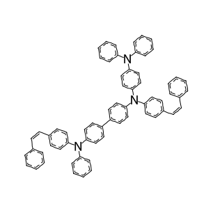 C(=C/c1ccc(N(c2ccccc2)c2ccc(-c3ccc(N(c4ccc(/C=C\c5ccccc5)cc4)c4ccc(N(c5ccccc5)c5ccccc5)cc4)cc3)cc2)cc1)/c1ccccc1